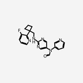 O=CN(c1cccnc1)c1cnc(NCC2(c3ncccc3F)CCC2)nc1